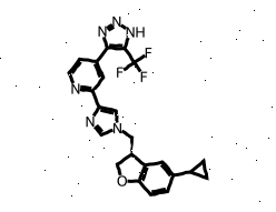 FC(F)(F)c1[nH]nnc1-c1ccnc(-c2cn(C[C@@H]3COc4ccc(C5CC5)cc43)cn2)c1